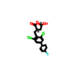 O=C1O[C@@H](O)C[C@H]1Cc1c(Cl)cc(-c2ccc(F)cc2)cc1Cl